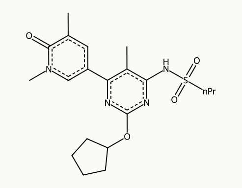 CCCS(=O)(=O)Nc1nc(OC2CCCC2)nc(-c2cc(C)c(=O)n(C)c2)c1C